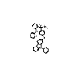 CC1(C)c2ccccc2N(c2ccccn2)c2cc(Oc3ccc4c5ccccc5n(-c5ccccn5)c4c3)ccc21